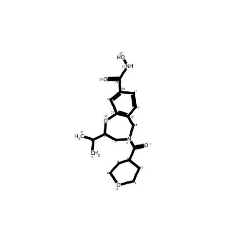 CC(C)C1CN(C(=O)C2CCOCC2)Cc2ccc(C(=O)NO)cc2O1